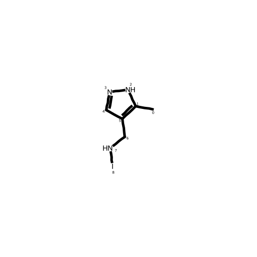 Cc1[nH]ncc1CNI